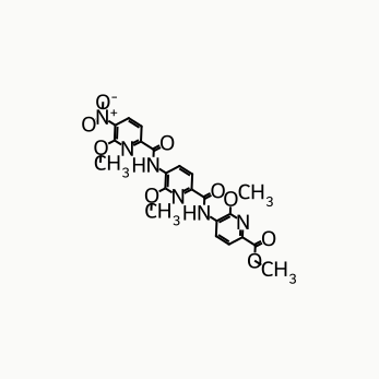 COC(=O)c1ccc(NC(=O)c2ccc(NC(=O)c3ccc([N+](=O)[O-])c(OC)n3)c(OC)n2)c(OC)n1